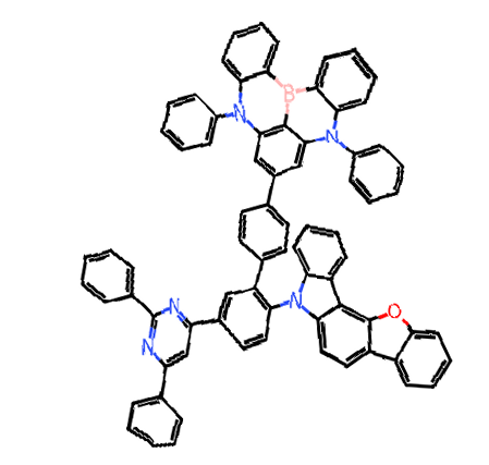 c1ccc(-c2cc(-c3ccc(-n4c5ccccc5c5c6oc7ccccc7c6ccc54)c(-c4ccc(-c5cc6c7c(c5)N(c5ccccc5)c5ccccc5B7c5ccccc5N6c5ccccc5)cc4)c3)nc(-c3ccccc3)n2)cc1